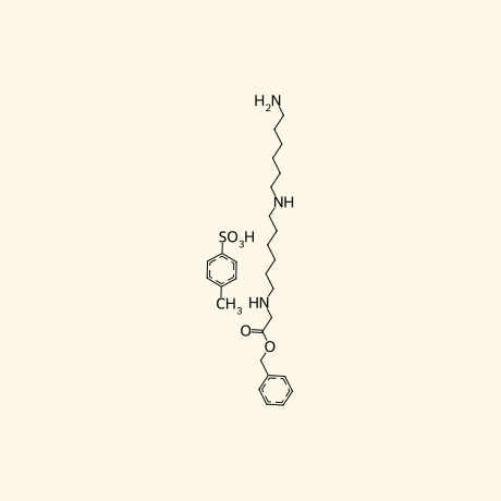 Cc1ccc(S(=O)(=O)O)cc1.NCCCCCCNCCCCCCNCC(=O)OCc1ccccc1